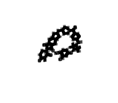 CC1(C)[C@H](Nc2ccc(C(=O)N3CCC(CN4Cc5cc6c(cc5C4)C(=O)N([C@@H]4CCC(=O)NC4=O)C6=O)CC3)cc2)C(C)(C)[C@H]1Oc1ccc(C#N)c(Cl)c1